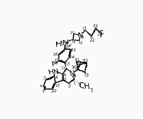 C[C@@H]1Cc2c([nH]c3ccccc23)[C@@H](c2ccc(NC3CN(CCCF)C3)cc2F)N1C12CC(C1)C2